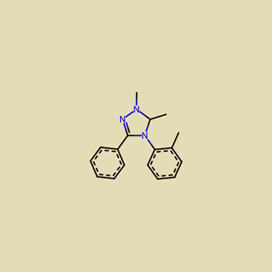 Cc1ccccc1N1C(c2ccccc2)=NN(C)C1C